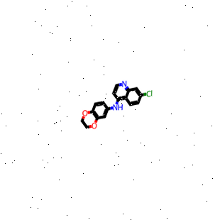 Clc1ccc2c(Nc3ccc4c(c3)OCCO4)ccnc2c1